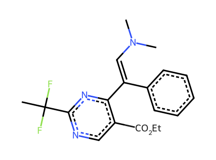 CCOC(=O)c1cnc(C(C)(F)F)nc1/C(=C/N(C)C)c1ccccc1